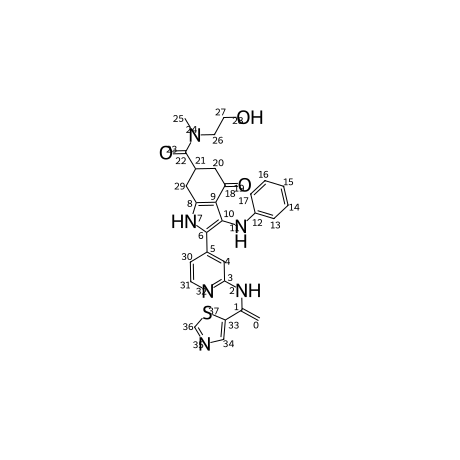 C=C(Nc1cc(-c2[nH]c3c(c2Nc2ccccc2)C(=O)CC(C(=O)N(C)CCO)C3)ccn1)c1cncs1